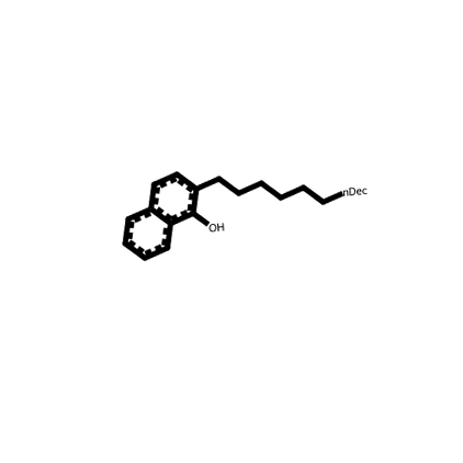 CCCCCCCCCCCCCCCCc1ccc2ccccc2c1O